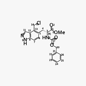 COC(=O)[C@@H](Cc1ccc2[nH]ncc2c1CCl)NC(=O)OCc1ccccc1